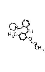 COCOc1ccc(C)cc1Pc1ccccc1CN1CCCCC1